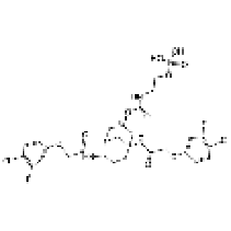 O=C(COc1ccc(Cl)c(F)c1)NC1CCC2(NC(=O)COc3ccc(Cl)c(F)c3)CC1C[C@@H](OC(=O)NCCOP(=O)(O)O)C2